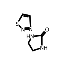 O=C1NCCN1.c1csnn1